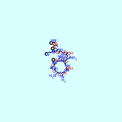 CNC(=O)c1ccccc1Sc1ccc2c(/C=C/c3ccccn3)nn(C(=O)[C@H](CCOC(=O)C(C)C)NC(=O)CCC(=O)N[C@H](C(=O)N[C@@H](CCN)C(=O)N[C@H]3CCNC(=O)[C@H]([C@@H](C)O)NC(=O)[C@H](CCN)NC(=O)[C@H](CCN)NC(=O)[C@H](CC(C)C)NC(=O)[C@@H](Cc4ccccc4)NC(=O)[C@H](CCN)NC3=O)[C@@H](C)O)c2c1